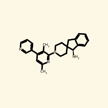 Cc1cc(-c2cccnc2)c(C)c(N2CCC3(CC2)Cc2ccccc2[C@H]3N)n1